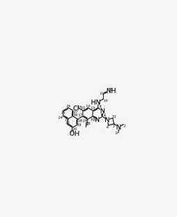 CN(C)C1CN(c2nc(NCC=N)c3cc(Cl)c(-c4cc(O)cc5ccccc45)c(F)c3n2)C1